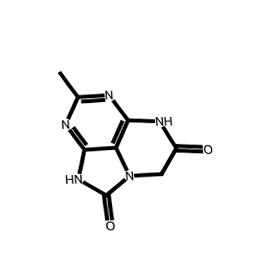 Cc1nc2c3c(n1)[nH]c(=O)n3CC(=O)N2